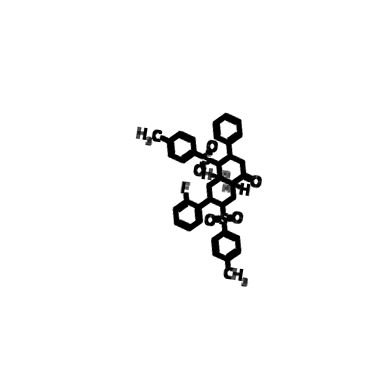 Cc1ccc(S(=O)(=O)C2C[C@H]3C(=O)CC(c4ccccc4)C(S(=O)(=O)c4ccc(C)cc4)[C@H]3CC2c2ccccc2F)cc1